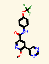 COc1ncc(C(=O)Nc2ccc(OC(F)(F)F)cc2)cc1-c1cncnc1